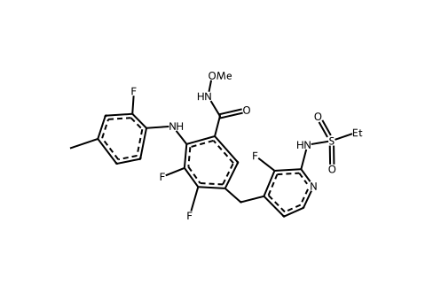 CCS(=O)(=O)Nc1nccc(Cc2cc(C(=O)NOC)c(Nc3ccc(C)cc3F)c(F)c2F)c1F